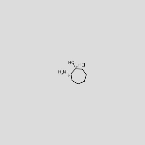 Cl.N[C@H]1CCCCC[C@H]1O